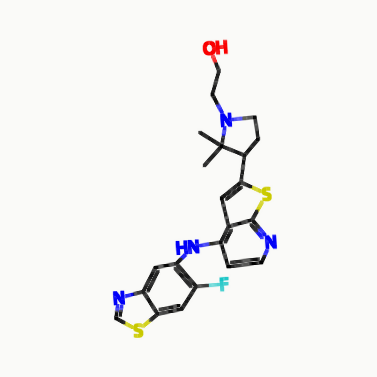 CC1(C)C(c2cc3c(Nc4cc5ncsc5cc4F)ccnc3s2)CCN1CCO